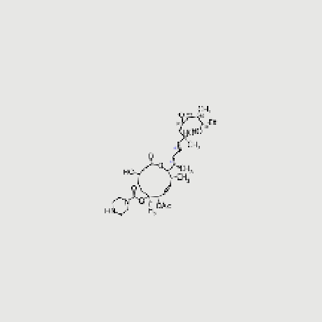 CC[C@H](O)[C@@H](C)[C@H]1O[C@@H]1C[C@@](C)(O)/C=C/C=C(\C)C1OC(=O)CC(O)CCC(C)(OC(=O)N2CCNCC2)C(OC(C)=O)C=CC1C